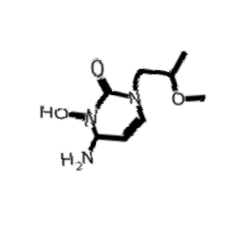 COC(C)CN1C=CC(N)N(O)C1=O